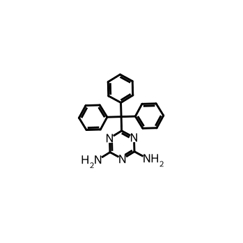 Nc1nc(N)nc(C(c2ccccc2)(c2ccccc2)c2ccccc2)n1